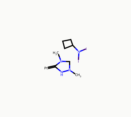 CN1CN(C)[C](=[Pt])N1.IN(I)C1CCC1